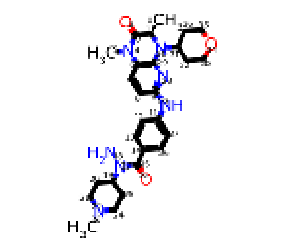 C[C@@H]1C(=O)N(C)c2ccc(Nc3ccc(C(=O)N(N)C4CCN(C)CC4)cc3)nc2N1C1CCOCC1